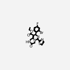 CCOC(=O)C1=C2CNC(=O)CN2C(c2nccs2)=NC1c1ccc(F)cc1Br